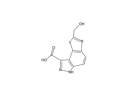 O=C(O)c1n[nH]c2ccc3nc(CO)sc3c12